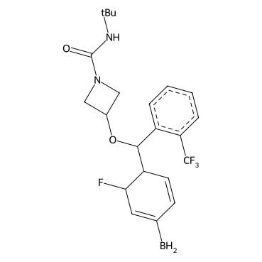 BC1=CC(F)C(C(OC2CN(C(=O)NC(C)(C)C)C2)c2ccccc2C(F)(F)F)C=C1